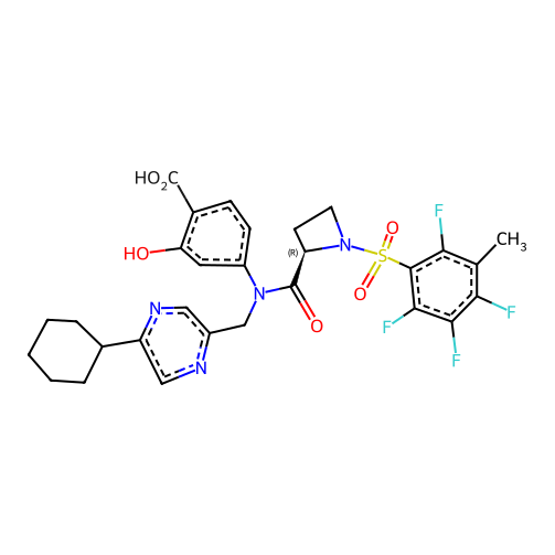 Cc1c(F)c(F)c(F)c(S(=O)(=O)N2CC[C@@H]2C(=O)N(Cc2cnc(C3CCCCC3)cn2)c2ccc(C(=O)O)c(O)c2)c1F